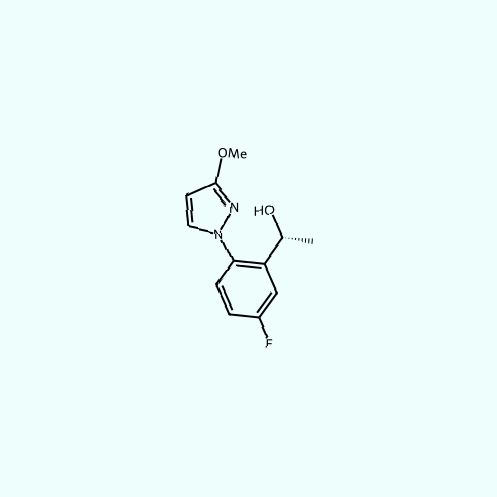 COc1ccn(-c2ccc(F)cc2[C@@H](C)O)n1